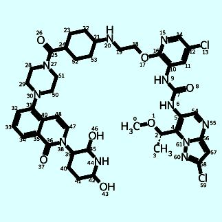 CO[C@@H](C)c1c(NC(=O)Nc2cc(Cl)cnc2OCCNC2CCC(C(=O)N3CCN(c4cccc5c(=O)n(C6CCC(O)NC6O)ccc45)CC3)CC2)cnc2cc(Cl)nn12